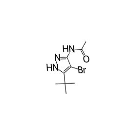 CC(=O)Nc1n[nH]c(C(C)(C)C)c1Br